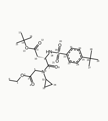 CCOC(=O)CN(C(=O)[C@H](CC(=O)OC(C)(C)C)NS(=O)(=O)c1ccc(C(C)(C)C)cc1)C1CC1